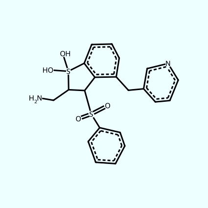 NCC1C(S(=O)(=O)c2ccccc2)c2c(Cc3cccnc3)cccc2S1(O)O